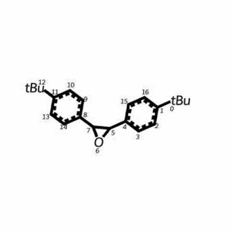 CC(C)(C)c1ccc(C2OC2c2ccc(C(C)(C)C)cc2)cc1